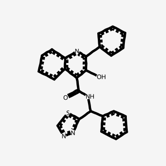 O=C(NC(c1ccccc1)c1nncs1)c1c(O)c(-c2ccccc2)nc2ccccc12